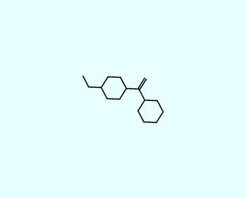 C=C(C1CCCCC1)C1CCC(CC)CC1